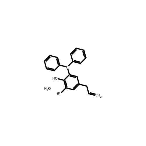 C=CCc1cc(C(C)C)c(O)c(P(c2ccccc2)c2ccccc2)c1.O